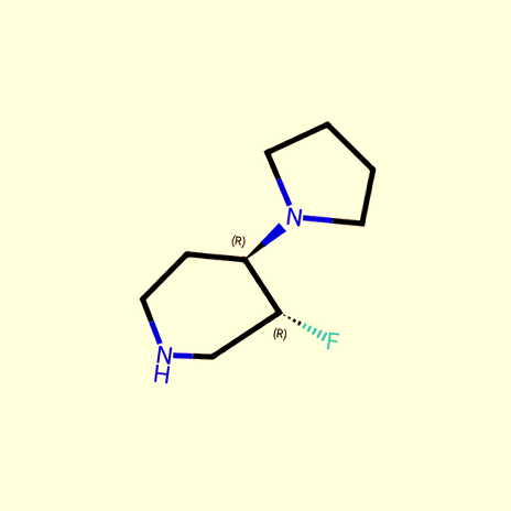 F[C@@H]1CNCC[C@H]1N1CCCC1